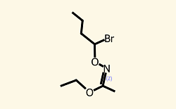 CCCC(Br)O/N=C(/C)OCC